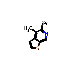 Cc1c(C(C)C)ncc2sccc12